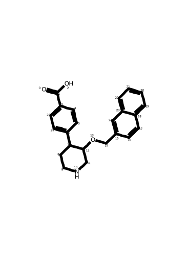 O=C(O)c1ccc(C2CCNCC2OCc2ccc3ccccc3c2)cc1